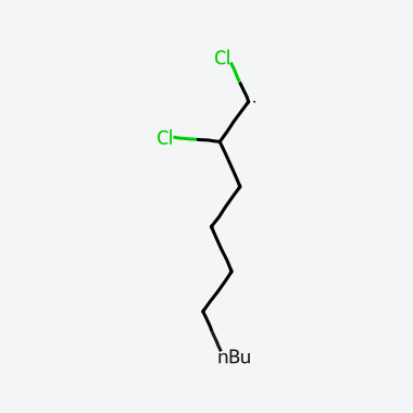 [CH2]CCCCCCCC(Cl)[CH]Cl